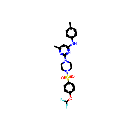 Cc1ccc(Nc2cc(C)nc(N3CCN(S(=O)(=O)c4ccc(OC(F)F)cc4)CC3)n2)cc1